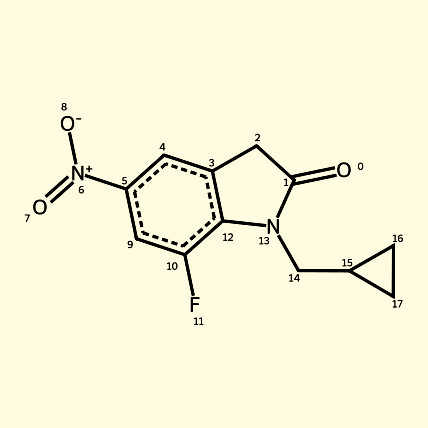 O=C1Cc2cc([N+](=O)[O-])cc(F)c2N1CC1CC1